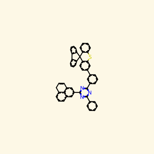 C1=Cc2cc(-c3nc(-c4ccccc4)nc(-c4cccc(-c5ccc6c(c5)Sc5ccccc5C65c6ccccc6-c6ccccc65)c4)n3)cc3cccc(c23)C1